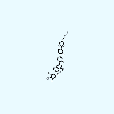 CCCCCC1COC(c2ccc(-c3ccc(-c4cc(F)c(C(F)(F)Oc5cc(F)c(Cl)c(F)c5)c(F)c4)c(F)c3)c(F)c2)OC1